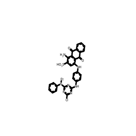 CCN(c1ccccc1)c1nc(Cl)nc(Nc2ccc(Nc3cc(S(=O)(=O)O)c(N)c4c3C(=O)c3ccccc3C4=O)cc2)n1